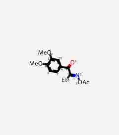 CC/C(=N\OC(C)=O)C(=O)c1ccc(OC)c(OC)c1